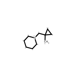 CC1(CN2CCCCC2)CC1